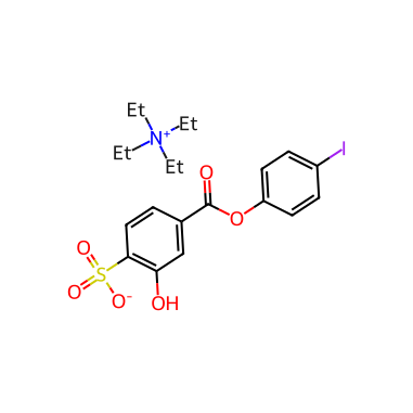 CC[N+](CC)(CC)CC.O=C(Oc1ccc(I)cc1)c1ccc(S(=O)(=O)[O-])c(O)c1